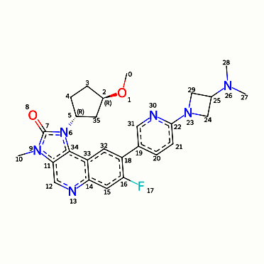 CO[C@@H]1CC[C@@H](n2c(=O)n(C)c3cnc4cc(F)c(-c5ccc(N6CC(N(C)C)C6)nc5)cc4c32)C1